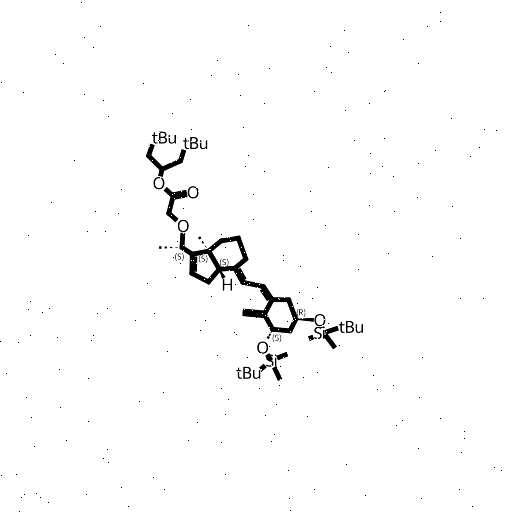 C=C1C(=CC=C2CCC[C@]3(C)C([C@H](C)OCC(=O)OC(CC(C)(C)C)CC(C)(C)C)=CC[C@@H]23)C[C@@H](O[Si](C)(C)C(C)(C)C)C[C@@H]1O[Si](C)(C)C(C)(C)C